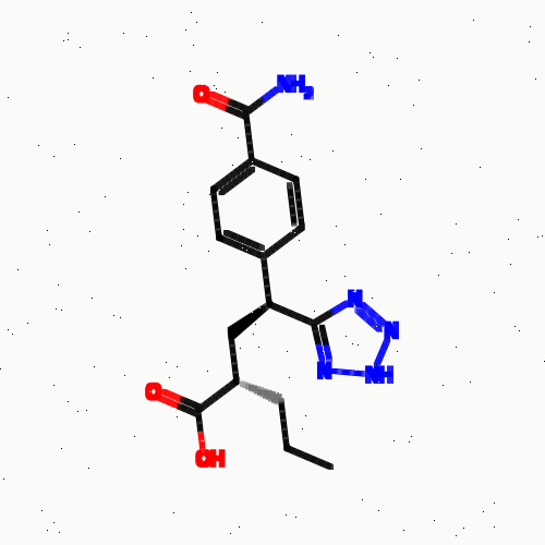 CCC[C@@H](C[C@@H](c1ccc(C(N)=O)cc1)c1nn[nH]n1)C(=O)O